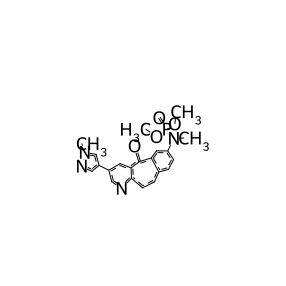 COP(=O)(OC)N(C)c1ccc2ccc3ncc(-c4cnn(C)c4)cc3c(=O)c2c1